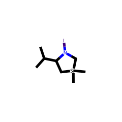 CC(C)C1C[Si](C)(C)CN1I